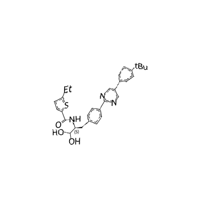 CCc1ccc(C(=O)N[C@@H](Cc2ccc(-c3ncc(-c4ccc(C(C)(C)C)cc4)cn3)cc2)C(O)O)s1